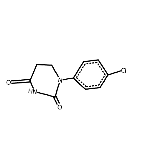 O=C1CCN(c2ccc(Cl)cc2)C(=O)N1